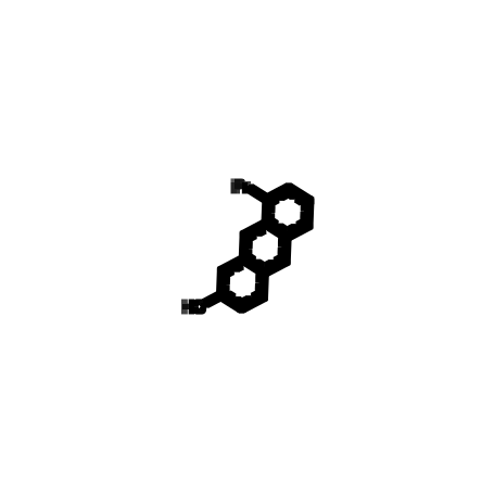 CC(C)c1cccc2cc3ccc(O)cc3cc12